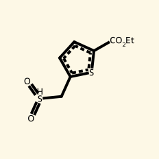 CCOC(=O)c1ccc(C[SH](=O)=O)s1